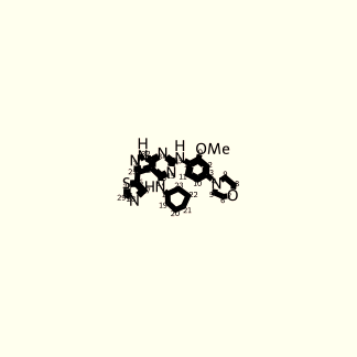 COc1cc(N2CCOCC2)ccc1Nc1nc(NC2CCCCC2)c2c(-c3cncs3)n[nH]c2n1